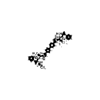 COC(=O)N[C@]1(C(=O)N[C@H](c2nc(-c3ccc(-c4ccc(-c5c[nH]c([C@@H](NC(O)[C@@]6(N)C[C@@H]6c6ccccc6)C(C)(C)C)n5)cc4)cc3)c[nH]2)C(C)(C)C)C[C@@H]1c1ccccc1